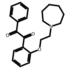 O=C(C(=O)c1ccccc1OCCN1CCCCCC1)c1ccccc1